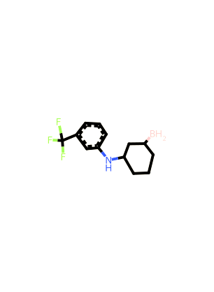 BC1CCCC(Nc2cccc(C(F)(F)F)c2)C1